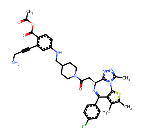 Cc1sc2c(c1C)C(c1ccc(Cl)cc1)=N[C@@H](CC(=O)N1CCC(CNc3ccc(C(=O)OC(=O)C(F)(F)F)c(C#CCN)c3)CC1)c1nnc(C)n1-2